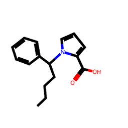 CCCCC(c1ccccc1)n1cccc1C(=O)O